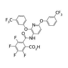 O=C(O)c1c(F)c(F)c(F)c(F)c1C(=O)Nc1ccc(Oc2cccc(C(F)(F)F)c2)nc1Oc1cccc(C(F)(F)F)c1